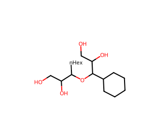 CCCCCCC(OC(C(O)CO)C1CCCCC1)C(O)CO